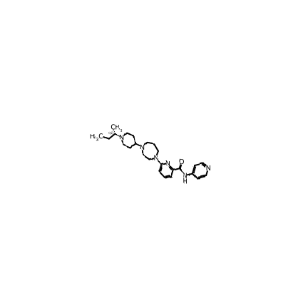 CC[C@H](C)N1CCC(N2CCCN(c3cccc(C(=O)Nc4ccncc4)n3)CC2)CC1